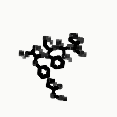 C=C(C)C(=O)O.C=C(C)C(=O)Oc1ccccc1.C=CC(=O)OC(C)(C)C.C=CC(=O)OC(C)CC.C=CC(=O)Oc1ccccc1